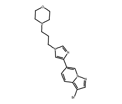 Brc1cnn2cc(-c3cn(CCCN4CCOCC4)cn3)ccc12